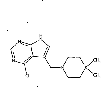 CC1(C)CCN(Cc2c[nH]c3ncnc(Cl)c23)CC1